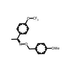 COc1ccc(CON=C(C)c2ccc(OC(F)(F)F)cc2)cc1